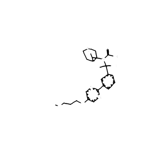 COCCCOc1cnc(-c2cccc(C(C)(C)N(C(=O)O)C3CN4CCC3CC4)c2)nc1